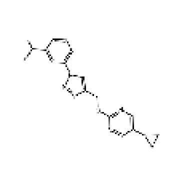 FC(F)c1cccc(-n2cc(COc3ncc(C4CC4)cn3)nn2)c1